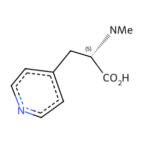 CN[C@@H](Cc1ccncc1)C(=O)O